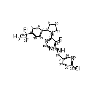 CC(F)(F)c1ccc(C2CCCN2c2ncnc(NCc3ccc(Cl)nc3)c2F)cc1